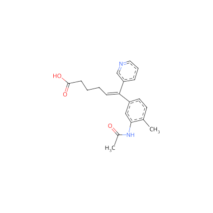 CC(=O)Nc1cc(/C(=C/CCCC(=O)O)c2cccnc2)ccc1C